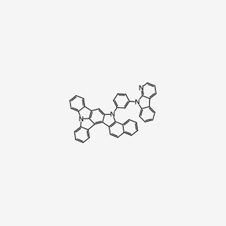 c1cc(-n2c3ccccc3c3cccnc32)cc(-n2c3cc4c5ccccc5n5c6ccccc6c(c3c3ccc6ccccc6c32)c45)c1